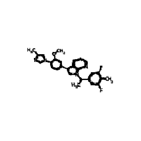 COc1cc(-c2cn(C(C)c3cc(F)c(C)c(F)c3)c3ncccc23)ccc1-n1cnc(C)c1